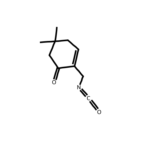 CC1(C)CC=C(CN=C=O)C(=O)C1